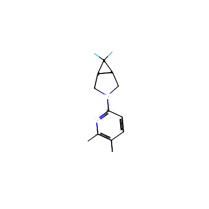 CCc1nc(N2CC3C(C2)C3(F)F)ccc1C